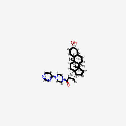 CC(CC(=O)N1CCN(c2ccncn2)CC1)[C@H]1CC[C@H]2[C@@H]3CC=C4C[C@@H](O)CC[C@]4(C)[C@H]3CC[C@]12C